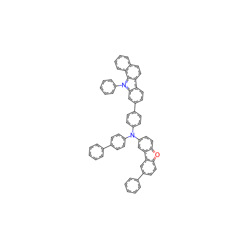 c1ccc(-c2ccc(N(c3ccc(-c4ccc5c6ccc7ccccc7c6n(-c6ccccc6)c5c4)cc3)c3ccc4oc5ccc(-c6ccccc6)cc5c4c3)cc2)cc1